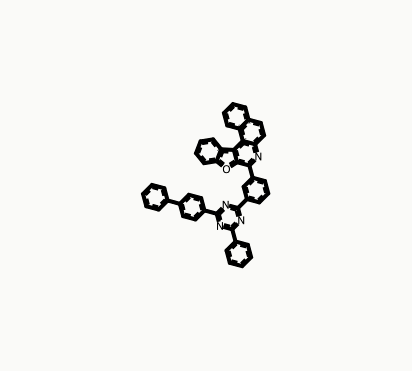 c1ccc(-c2ccc(-c3nc(-c4ccccc4)nc(-c4cccc(-c5nc6ccc7ccccc7c6c6c5oc5ccccc56)c4)n3)cc2)cc1